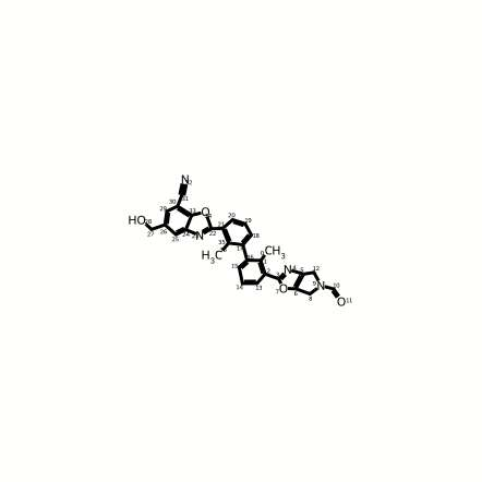 Cc1c(-c2nc3c(o2)CN(C=O)C3)cccc1-c1cccc(-c2nc3cc(CO)cc(C#N)c3o2)c1C